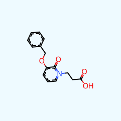 O=C(O)CCn1cccc(OCc2ccccc2)c1=O